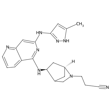 Cc1cc(Nc2cc3ncccc3c(N[C@H]3C[C@@H]4CC3CN4CCC#N)n2)n[nH]1